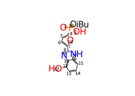 CC(C)COP(=O)(O)c1ccc(-c2nc3c(O)cccc3[nH]2)o1